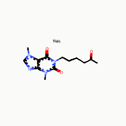 CC(=O)CCCCn1c(=O)c2c(ncn2C)n(C)c1=O.[NaH]